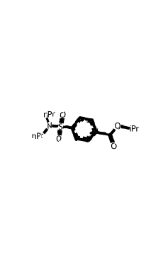 CCCN(CCC)S(=O)(=O)c1ccc(C(=O)OC(C)C)cc1